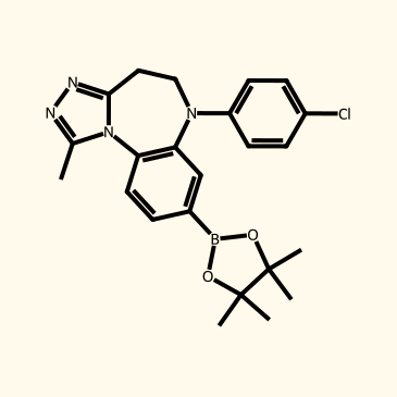 Cc1nnc2n1-c1ccc(B3OC(C)(C)C(C)(C)O3)cc1N(c1ccc(Cl)cc1)CC2